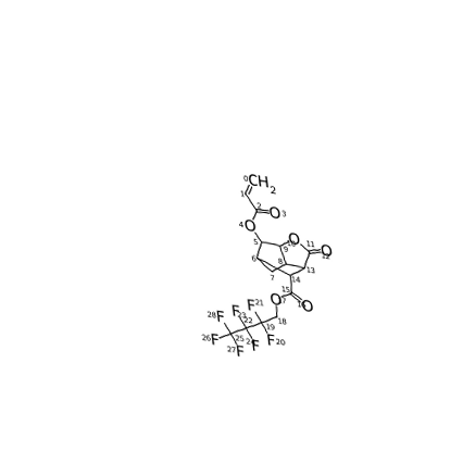 C=CC(=O)OC1C2CC3C1OC(=O)C3C2C(=O)OCC(F)(F)C(F)(F)C(F)(F)F